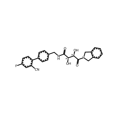 N#Cc1cc(F)ccc1-c1ccc(CNC(=O)[C@H](O)[C@@H](O)C(=O)N2Cc3ccccc3C2)cc1